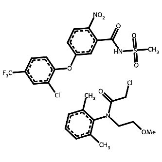 COCCN(C(=O)CCl)c1c(C)cccc1C.CS(=O)(=O)NC(=O)c1cc(Oc2ccc(C(F)(F)F)cc2Cl)ccc1[N+](=O)[O-]